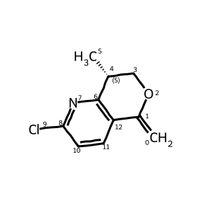 C=C1OC[C@@H](C)c2nc(Cl)ccc21